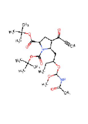 C#CC(=O)[C@@H]1C[C@H](C(=O)OC(C)(C)C)N(C(=O)OC(C)(C)C)[C@@H]1CC(CC)OC(NC(C)=O)OC